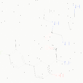 Cc1cc(-c2ccc(O)c(C(N)C(=O)N[C@@H](CCCN)C(=O)NCC=O)c2)ccc1F